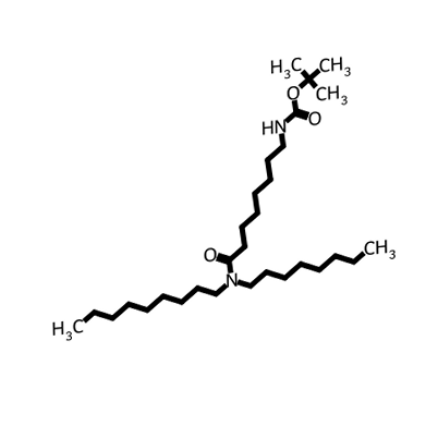 CCCCCCCCCN(CCCCCCCC)C(=O)CCCCCCCNC(=O)OC(C)(C)C